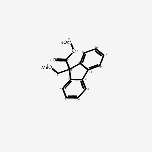 CCCCCCCCOC(=O)C1(COC)c2ccccc2-c2ccccc21